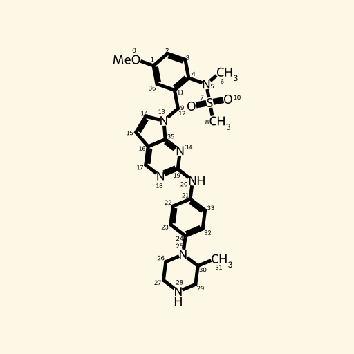 COc1ccc(N(C)S(C)(=O)=O)c(Cn2ccc3cnc(Nc4ccc(N5CCNCC5C)cc4)nc32)c1